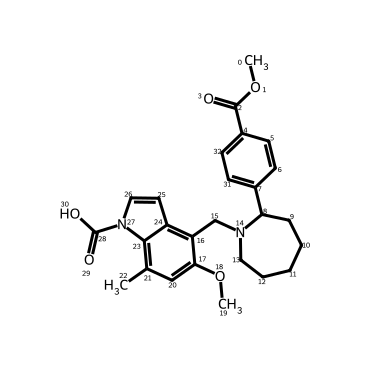 COC(=O)c1ccc(C2CCCCCN2Cc2c(OC)cc(C)c3c2ccn3C(=O)O)cc1